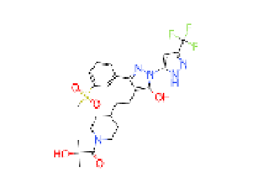 CC(C)(O)C(=O)N1CCC(CCc2c(-c3cccc(S(C)(=O)=O)c3)nn(-c3cc(C(F)(F)F)n[nH]3)c2O)CC1